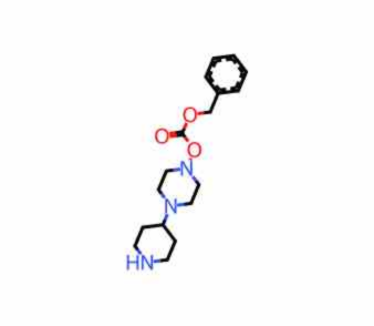 O=C(OCc1ccccc1)ON1CCN(C2CCNCC2)CC1